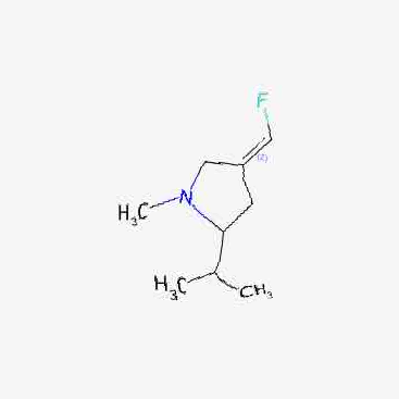 CC(C)C1C/C(=C/F)CN1C